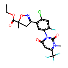 CCOC(=O)C1(C)CC(c2cc(-n3c(=O)cc(C(F)(F)F)n(C)c3=O)c(F)cc2Cl)=NO1